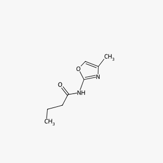 CCCC(=O)Nc1nc(C)co1